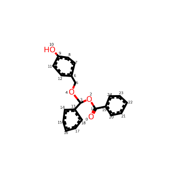 O=C(OC(OCc1ccc(O)cc1)c1ccccc1)c1ccccc1